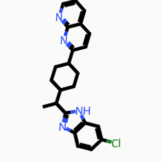 CC(c1nc2ccc(Cl)cc2[nH]1)C1CCC(c2ccc3cccnc3n2)CC1